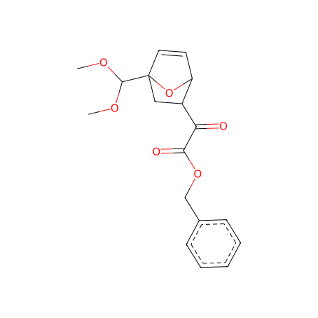 COC(OC)C12C=CC(O1)C(C(=O)C(=O)OCc1ccccc1)C2